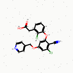 N#Cc1c(Cl)cc(OCc2ccncc2)cc1Oc1cccc(CC(=O)O)c1Cl